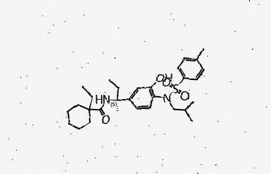 CCC1(C(=O)N[C@@](C)(CC)c2ccc(N(CC(C)C)S(=O)(=O)c3ccc(C)cc3)c(O)c2)CCCCC1